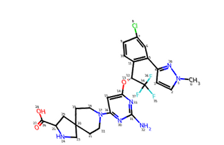 Cn1ccc(-c2cc(Cl)ccc2[C@@H](Oc2cc(N3CCC4(CC3)CNC(C(=O)O)C4)nc(N)n2)C(F)(F)F)n1